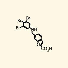 O=C(O)c1cc2ccc(CNc3cc(Br)c(Br)c(Br)c3)cc2o1